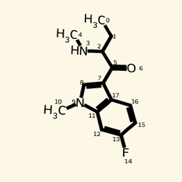 CCC(NC)C(=O)c1cn(C)c2cc(F)ccc12